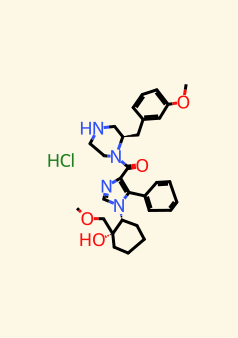 COC[C@]1(O)CCCC[C@H]1n1cnc(C(=O)N2CCNC[C@H]2Cc2cccc(OC)c2)c1-c1ccccc1.Cl